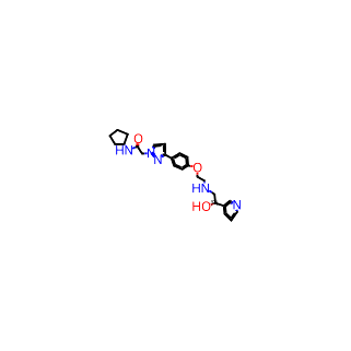 O=C(Cn1ccc(-c2ccc(OCCNC[C@H](O)c3cccnc3)cc2)n1)NC1CCCC1